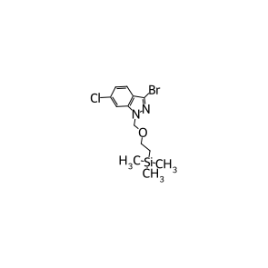 C[Si](C)(C)CCOCn1nc(Br)c2ccc(Cl)cc21